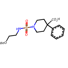 COCCNS(=O)(=O)N1CCC(C(=O)O)(c2ccccc2)CC1